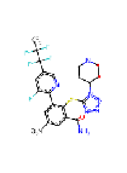 NC(=O)c1cc([N+](=O)[O-])cc(-c2ncc(C(F)(F)C(F)(F)C(F)(F)F)cc2F)c1Sc1nnnn1C12CCN(CC1)CC2